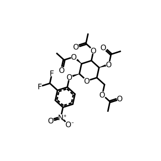 CC(=O)OCC1O[C@@H](Oc2ccc([N+](=O)[O-])cc2C(F)F)[C@@H](OC(C)=O)C(OC(C)=O)[C@H]1OC(C)=O